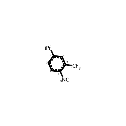 [C-]#[N+]c1ccc(C(C)C)cc1C(F)(F)F